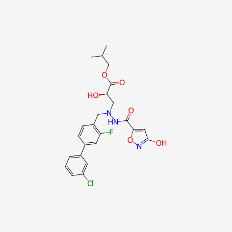 CC(C)COC(=O)[C@H](O)CN(Cc1ccc(-c2cccc(Cl)c2)cc1F)NC(=O)c1cc(O)no1